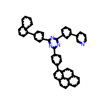 c1cncc(-c2cccc(-c3nc(-c4ccc(-c5cccc6ccccc56)cc4)nc(-c4ccc(-c5ccc6ccc7cccc8ccc5c6c78)cc4)n3)c2)c1